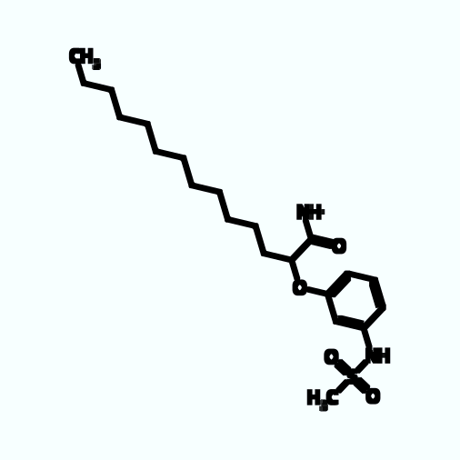 CCCCCCCCCCCCC(Oc1cccc(NS(C)(=O)=O)c1)C([NH])=O